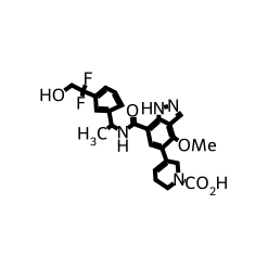 COc1c(C2=CCCN(C(=O)O)C2)cc(C(=O)NC(C)c2cccc(C(F)(F)CO)c2)c2[nH]ncc12